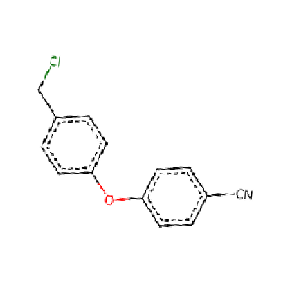 N#Cc1ccc(Oc2ccc(CCl)cc2)cc1